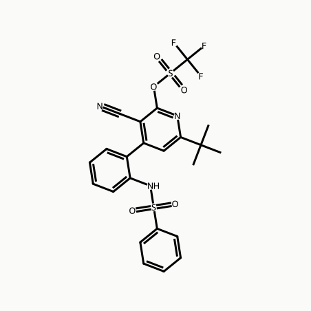 CC(C)(C)c1cc(-c2ccccc2NS(=O)(=O)c2ccccc2)c(C#N)c(OS(=O)(=O)C(F)(F)F)n1